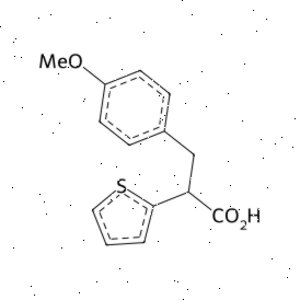 COc1ccc(CC(C(=O)O)c2cccs2)cc1